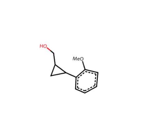 COc1ccccc1C1CC1CO